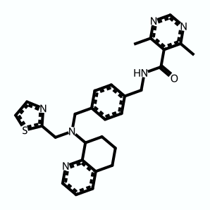 Cc1ncnc(C)c1C(=O)NCc1ccc(CN(Cc2nccs2)C2CCCc3cccnc32)cc1